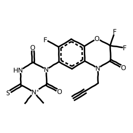 C#CCN1C(=O)C(F)(F)Oc2cc(F)c(N3C(=O)NC(=S)[N+](C)(C)C3=O)cc21